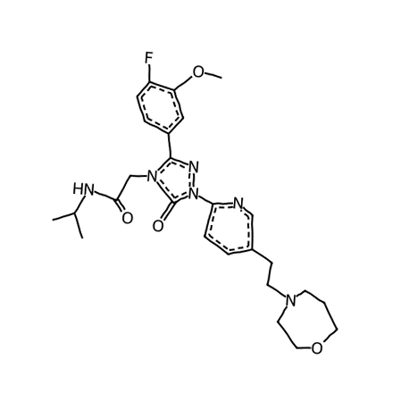 COc1cc(-c2nn(-c3ccc(CCN4CCCOCC4)cn3)c(=O)n2CC(=O)NC(C)C)ccc1F